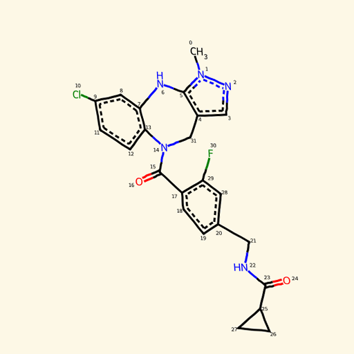 Cn1ncc2c1Nc1cc(Cl)ccc1N(C(=O)c1ccc(CNC(=O)C3CC3)cc1F)C2